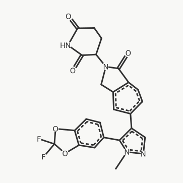 Cn1ncc(-c2ccc3c(c2)CN(C2CCC(=O)NC2=O)C3=O)c1-c1ccc2c(c1)OC(F)(F)O2